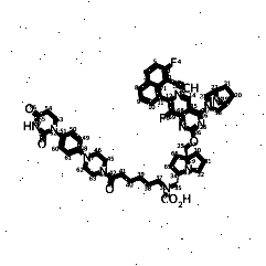 C#Cc1c(F)ccc2cccc(-c3ncc4c(N5CC6CCC(C5)N6)nc(OC[C@@]56CCCN5[C@H](CN(CCCCCC(=O)N5CCN(c7ccc(N8CCC(=O)NC8=O)cc7)CC5)C(=O)O)CC6)nc4c3F)c12